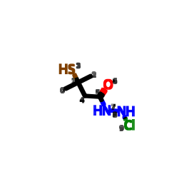 CC(C)(S)CC(=O)NNCl